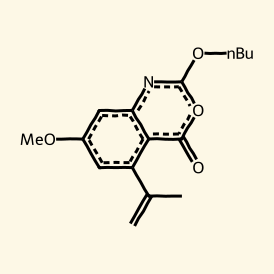 C=C(C)c1cc(OC)cc2nc(OCCCC)oc(=O)c12